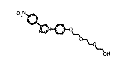 O=[N+]([O-])c1ccc(-c2cn(-c3ccc(OCCOCCOCCO)cc3)cn2)cc1